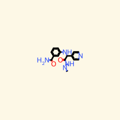 C=NNC(=O)C(Nc1cccc(C(N)=O)c1)c1ccncc1